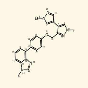 CCn1cc(-c2cn(C)nc2COc2ccc(-c3cccc4c3ncn4C)cc2)cn1